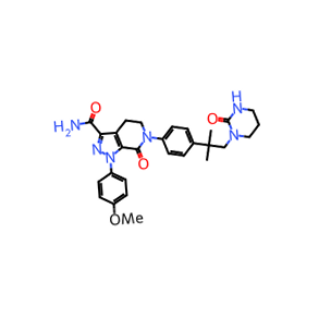 COc1ccc(-n2nc(C(N)=O)c3c2C(=O)N(c2ccc(C(C)(C)CN4CCCNC4=O)cc2)CC3)cc1